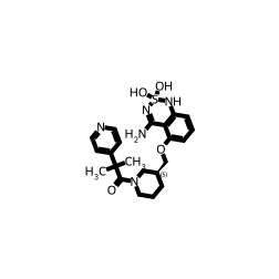 CC(C)(C(=O)N1CCC[C@H](COc2cccc3c2C(N)=NS(O)(O)N3)C1)c1ccncc1